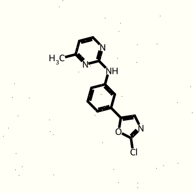 Cc1ccnc(Nc2cccc(-c3cnc(Cl)o3)c2)n1